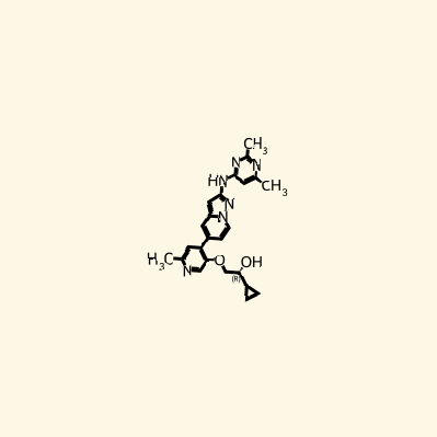 Cc1cc(-c2ccn3nc(Nc4cc(C)nc(C)n4)cc3c2)c(OC[C@H](O)C2CC2)cn1